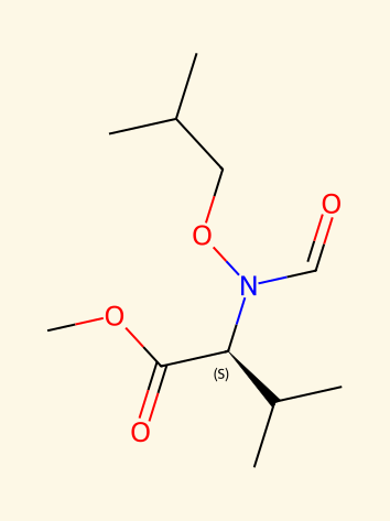 COC(=O)[C@H](C(C)C)N(C=O)OCC(C)C